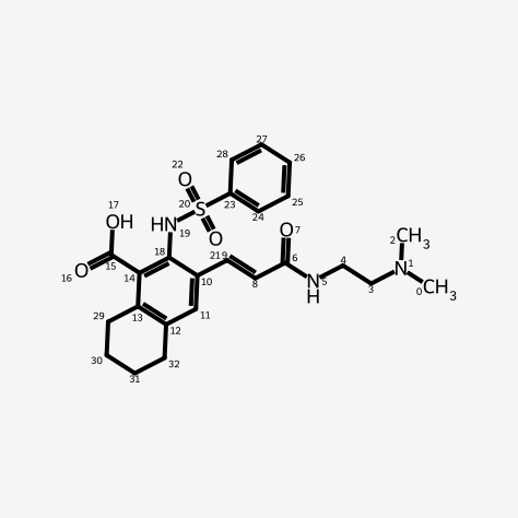 CN(C)CCNC(=O)C=Cc1cc2c(c(C(=O)O)c1NS(=O)(=O)c1ccccc1)CCCC2